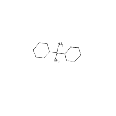 NS(N)(C1CCCCC1)C1CCCCC1